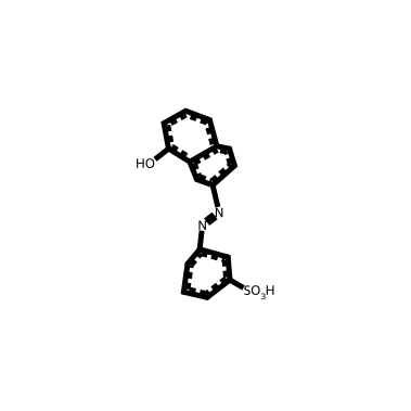 O=S(=O)(O)c1cccc(N=Nc2ccc3cccc(O)c3c2)c1